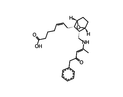 CC(=CC(=O)Cc1ccccc1)NC[C@@H]1[C@H](C/C=C\CCCC(=O)O)[C@@H]2CC[C@H]1O2